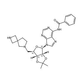 CC1(C)O[C@@H]2[C@H](O1)[C@@H](CN1CCC3(CNC3)C1)O[C@H]2n1cnc2c(NC(=O)c3ccccc3)ncnc21